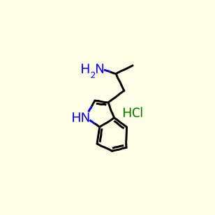 CC(N)Cc1c[nH]c2ccccc12.Cl